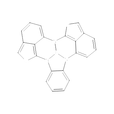 c1ccc2c(c1)N1B3N2c2occ4cccc(c24)N3c2occ3cccc1c23